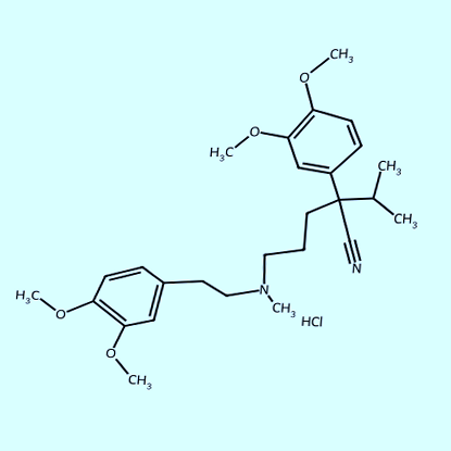 COc1ccc(CCN(C)CCCC(C#N)(c2ccc(OC)c(OC)c2)C(C)C)cc1OC.Cl